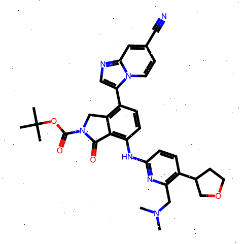 CN(C)Cc1nc(Nc2ccc(-c3cnc4cc(C#N)ccn34)c3c2C(=O)N(C(=O)OC(C)(C)C)C3)ccc1C1CCOC1